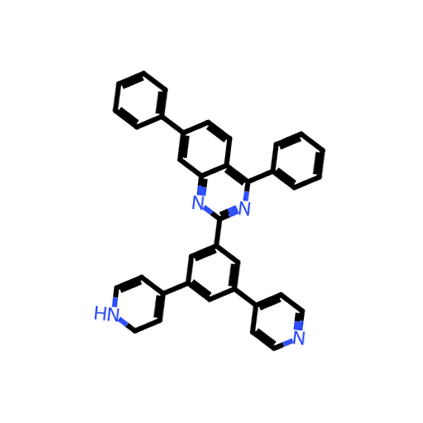 C1=CC(c2cc(-c3ccncc3)cc(-c3nc(-c4ccccc4)c4ccc(-c5ccccc5)cc4n3)c2)=CCN1